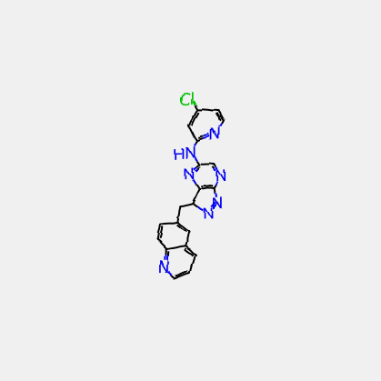 Clc1ccnc(Nc2cnc3c(n2)C(Cc2ccc4ncccc4c2)N=N3)c1